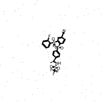 C[C@H](NS(=O)(=O)C(F)(F)F)c1ccc(S(=O)(=O)c2ccc(C#N)cc2S(=O)(=O)c2ccccc2F)cc1